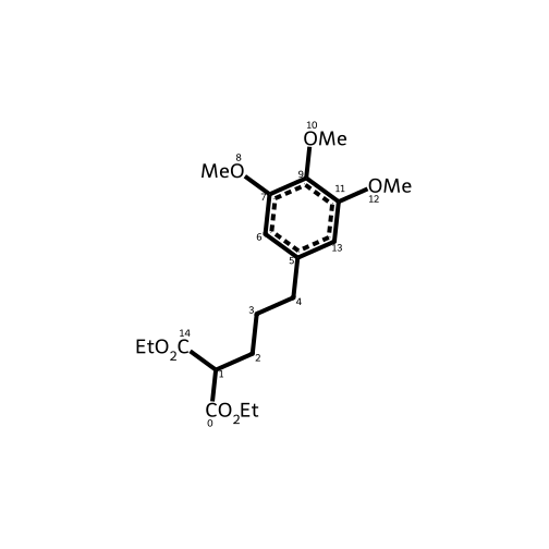 CCOC(=O)C(CCCc1cc(OC)c(OC)c(OC)c1)C(=O)OCC